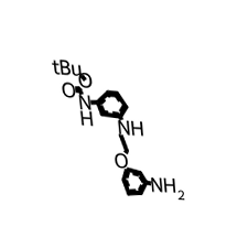 CC(C)(C)OC(=O)Nc1cccc(NCCOc2cccc(N)c2)c1